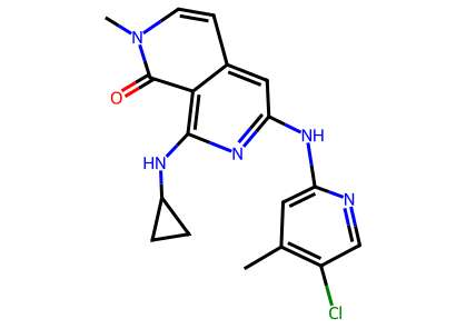 Cc1cc(Nc2cc3ccn(C)c(=O)c3c(NC3CC3)n2)ncc1Cl